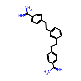 N=C(N)c1ccc(CCc2cccc(CCc3ccc(C(=N)N)cc3)c2)cc1